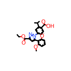 CCOC(=O)c1cc(-c2c(OC)cccc2OC)n(-c2ccc(C(=O)O)c(C(C)C)c2)n1